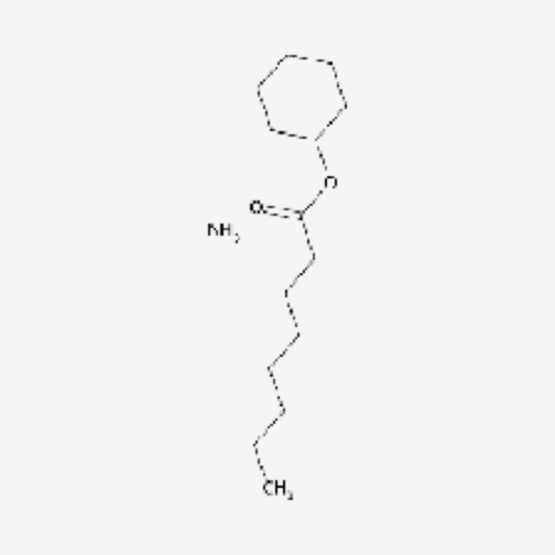 CCCCCCCC(=O)OC1CCCCC1.N